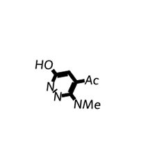 CNc1nnc(O)cc1C(C)=O